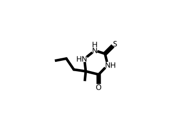 CCCC1(C)NNC(=S)NC1=O